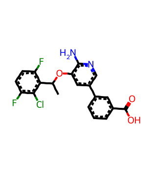 CC(Oc1cc(-c2cccc(C(=O)O)c2)cnc1N)c1c(F)ccc(F)c1Cl